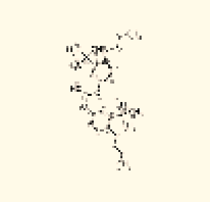 CCCCc1ccc(OP(O)Oc2ccc(CCCC)c(C(C)(C)C)c2)cc1C(C)(C)C